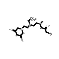 CC(=O)CC(=O)CN(C)CCN(CCN1CC(=O)CC(=O)C1)CC(=O)O